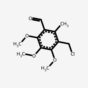 COc1c(C=O)c(C)c(CCl)c(OC)c1OC